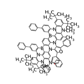 Cc1cc2c3c4c1N(C)c1c(cc(C(C)(C)C)cc1C(C)(C)C)N4c1ccc(-c4ccccc4)cc1B3c1ccc3c4c1N2c1c(-c2ccccc2)oc(-c2ccccc2)c1N4c1cc(N(c2ccccc2)c2ccccc2)c2c4c1B3c1ccc(-c3ccccc3)cc1N4c1cc(C(C)(C)C)cc(C(C)(C)C)c1N2C